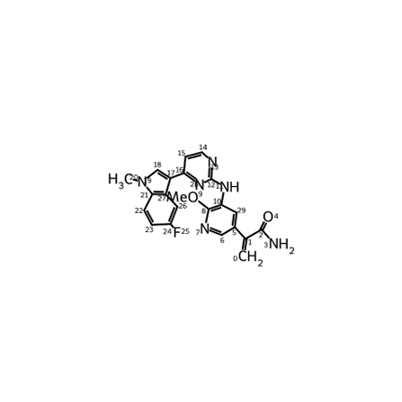 C=C(C(N)=O)c1cnc(OC)c(Nc2nccc(-c3cn(C)c4ccc(F)cc34)n2)c1